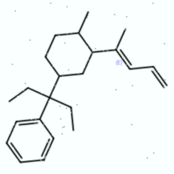 C=C/C=C(\C)C1CC(C(CC)(CC)c2ccccc2)CCC1C